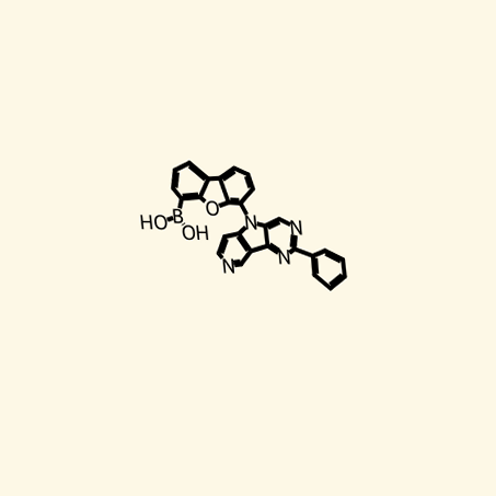 OB(O)c1cccc2c1oc1c(-n3c4ccncc4c4nc(-c5ccccc5)ncc43)cccc12